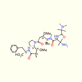 CC[C@H](C)[C@@H]([C@@H](CC(=O)N1CCC[C@H]1[C@H](OC)[C@@H](C)C(=O)N[C@@H](Cc1ccccc1)C(=O)O)OC)N(C)C(=O)[C@@H](NC(=O)C(C)(C)N(C)C)C(C)(C)N